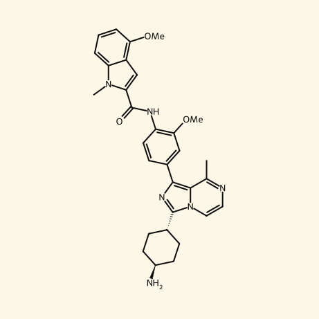 COc1cc(-c2nc([C@H]3CC[C@H](N)CC3)n3ccnc(C)c23)ccc1NC(=O)c1cc2c(OC)cccc2n1C